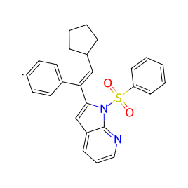 O=S(=O)(c1ccccc1)n1c(C(=CC2CCCC2)c2cc[c]cc2)cc2cccnc21